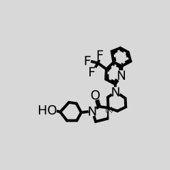 O=C1N(C2CCC(O)CC2)CC[C@@]12CCCN(c1cc(C(F)(F)F)c3ccccc3n1)C2